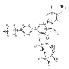 NCC(Cn1nc2cc(-c3ccc(N4CCNCC4)cc3)ccn2c1=O)=C(F)F.O=C(O)C(F)(F)F.O=C(O)C(F)(F)F